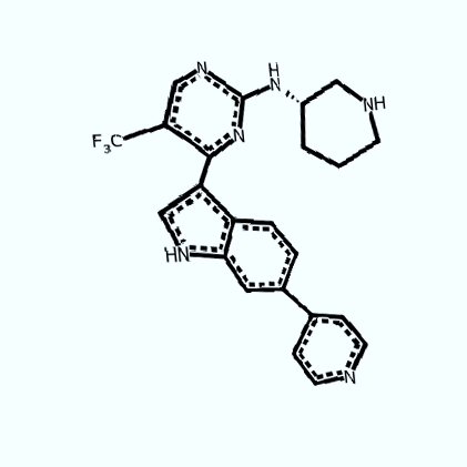 FC(F)(F)c1cnc(N[C@H]2CCCNC2)nc1-c1c[nH]c2cc(-c3ccncc3)ccc12